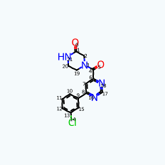 O=C1CN(C(=O)c2cc(-c3cccc(Cl)c3)ncn2)CCN1